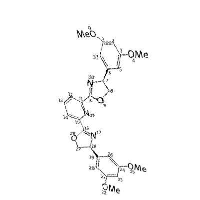 COc1cc(OC)cc([C@H]2COC(c3cccc(C4=N[C@@H](c5cc(OC)cc(OC)c5)CO4)n3)=N2)c1